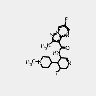 CN1CCC(C2C(F)CN=CC2NC(=O)c2c(N)nn3cc(F)cnc23)CC1